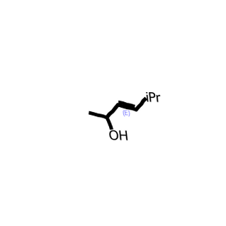 CC(C)/C=C/C(C)O